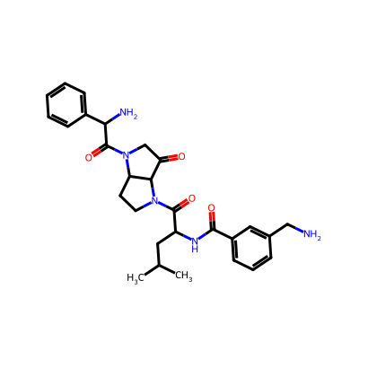 CC(C)CC(NC(=O)c1cccc(CN)c1)C(=O)N1CCC2C1C(=O)CN2C(=O)C(N)c1ccccc1